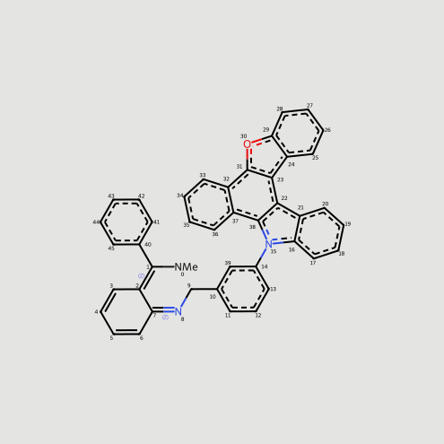 CN/C(=C1/C=CC=C/C1=N/Cc1cccc(-n2c3ccccc3c3c4c5ccccc5oc4c4ccccc4c32)c1)c1ccccc1